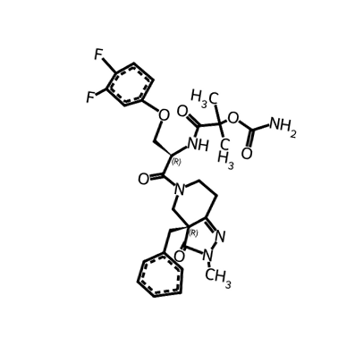 CN1N=C2CCN(C(=O)[C@@H](COc3ccc(F)c(F)c3)NC(=O)C(C)(C)OC(N)=O)C[C@@]2(Cc2ccccc2)C1=O